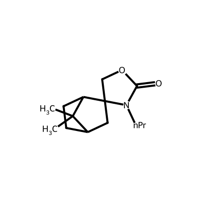 CCCN1C(=O)OCC12CC1CCC2C1(C)C